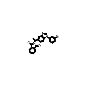 CC(c1ccc2c(c1)ncn2-c1cccc(Br)c1)N1C(=O)c2ccccc2C1=O